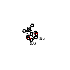 CC(C)(C)c1cc(-c2ccccc2)c2c(c1)c1cc(C(C)(C)C)cc(-c3ccccc3)c1n2-c1c(-c2ccccc2)cc(-c2nc(-c3ccccc3)nc3c2oc2ccccc23)cc1-c1ccccc1